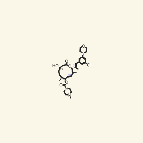 C/C(=C\c1cc(Cl)cc(N2CCOCC2)c1)[C@H]1OC(=O)C[C@H](O)CC[C@H](C)[C@H](OC(=O)N2CCN(C)CC2)/C=C/[C@@H]1C